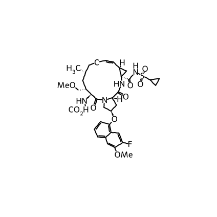 COC[C@@H]1C[C@H](C)CC/C=C\[C@@H]2C[C@@]2(C(=O)NS(=O)(=O)C2CC2)NC(=O)[C@@H]2C[C@@H](Oc3cccc4cc(OC)c(F)cc34)CN2C(=O)[C@H]1NC(=O)O